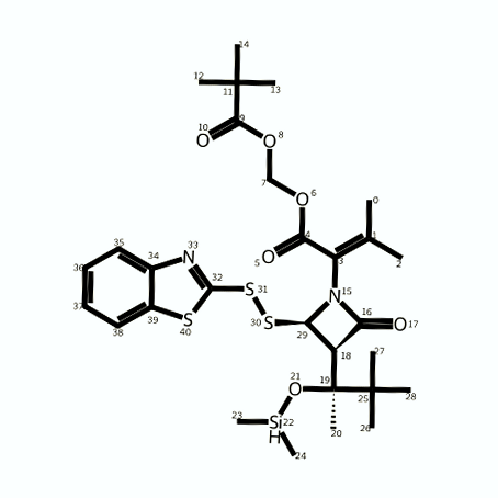 CC(C)=C(C(=O)OCOC(=O)C(C)(C)C)N1C(=O)[C@@H]([C@](C)(O[SiH](C)C)C(C)(C)C)[C@H]1SSc1nc2ccccc2s1